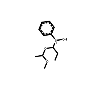 CCC(OC(C)OC)[SiH](O)c1ccccc1